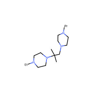 CCN1CCN(C(C)(C)CN2CCN(C(C)C)CC2)CC1